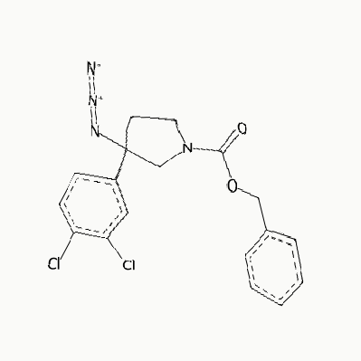 [N-]=[N+]=NC1(c2ccc(Cl)c(Cl)c2)CCN(C(=O)OCc2ccccc2)C1